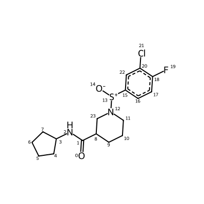 O=C(NC1CCCC1)C1CCCN([S+]([O-])c2ccc(F)c(Cl)c2)C1